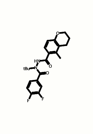 Cc1c(C(=O)NN(C(=O)c2ccc(F)c(F)c2)C(C)(C)C)ccc2c1CCCO2